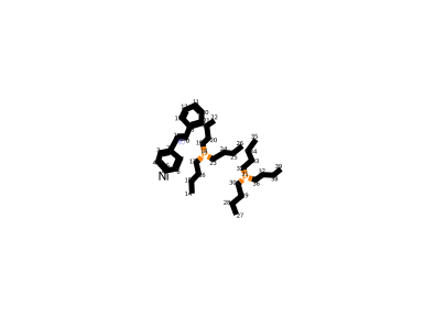 C(=C\c1ccccc1)/c1ccccc1.CCCCP(CCCC)CCCC.CCCCP(CCCC)CCCC.[Ni]